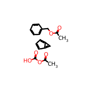 CC(=O)OC(=O)O.CC(=O)OCc1ccccc1.c1cc2cc-2c1